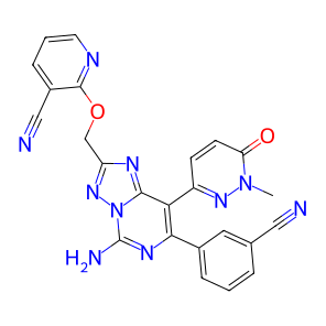 Cn1nc(-c2c(-c3cccc(C#N)c3)nc(N)n3nc(COc4ncccc4C#N)nc23)ccc1=O